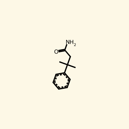 CC(C)(CC(N)=O)c1ccccc1